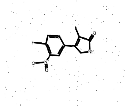 CC1=C(c2ccc(F)c([N+](=O)[O-])c2)CNC1=O